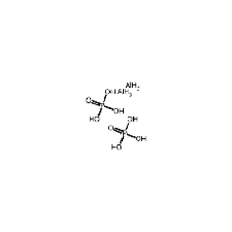 O=P(O)(O)O.O=P(O)(O)O.[AlH3].[AlH3]